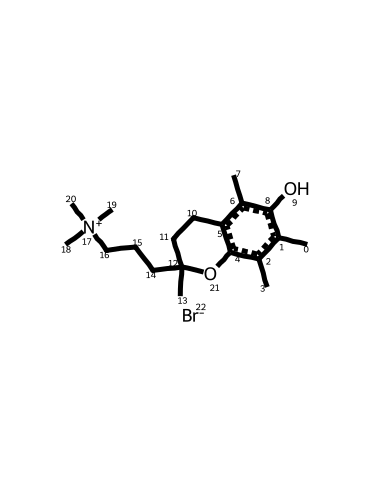 Cc1c(C)c2c(c(C)c1O)CCC(C)(CCC[N+](C)(C)C)O2.[Br-]